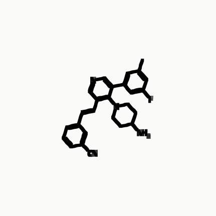 Cc1cc(F)cc(-c2cncc(/C=C/c3cccc(C#N)c3)c2N2CCC(N)CC2)c1